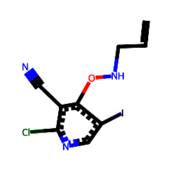 C=CCNOc1c(I)cnc(Cl)c1C#N